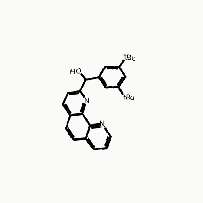 CC(C)(C)c1cc(C(O)c2ccc3ccc4cccnc4c3n2)cc(C(C)(C)C)c1